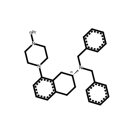 CCCN1CCN(c2cccc3c2C[C@H](N(Cc2ccccc2)Cc2ccccc2)CC3)CC1